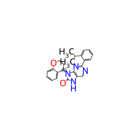 CC(C)c1ccccc1-c1ncc2[nH]c(=O)n([C@@H]3CCOc4ccccc43)c2n1